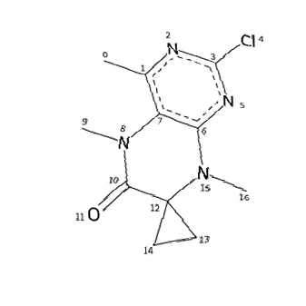 Cc1nc(Cl)nc2c1N(C)C(=O)C1(CC1)N2C